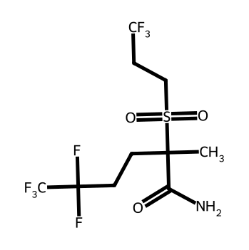 CC(CCC(F)(F)C(F)(F)F)(C(N)=O)S(=O)(=O)CCC(F)(F)F